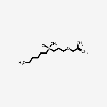 C=C(C)COCCC[Si](C)(Cl)CCCCCC